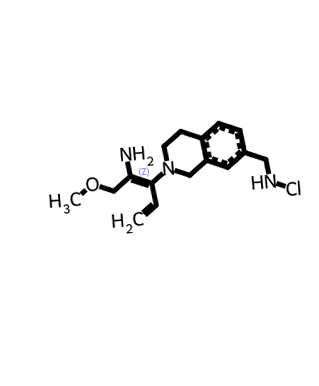 C=C/C(=C(/N)COC)N1CCc2ccc(CNCl)cc2C1